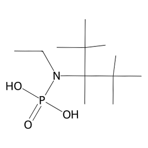 CCN(C(C)(C(C)(C)C)C(C)(C)C)P(=O)(O)O